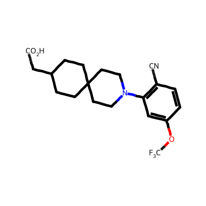 N#Cc1ccc(OC(F)(F)F)cc1N1CCC2(CCC(CC(=O)O)CC2)CC1